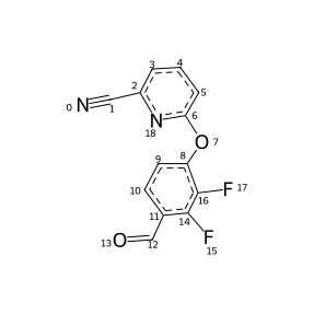 N#Cc1cccc(Oc2ccc(C=O)c(F)c2F)n1